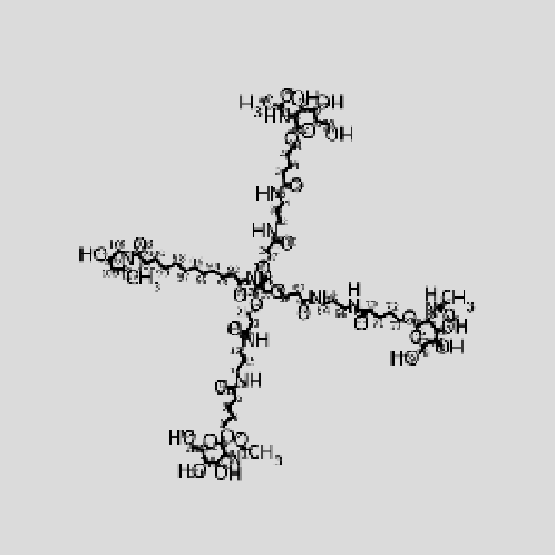 CC(=O)NC1C(OCCCCC(=O)NCCCNC(=O)CCOCC(COCCC(=O)NCCCNC(=O)CCCCOC2OC(CO)C(O)C(O)C2NC(C)=O)(COCCC(=O)NCCCNC(=O)CCCCOC2OC(CO)C(O)C(O)C2NC(C)=O)NC(=O)CCCCCCCCCCC(=O)N2CC(O)CC2C)OC(CO)C(O)C1O